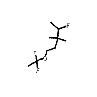 CC(F)C(C)(C)CCOC(C)(F)F